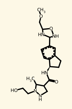 COCC1NC(c2ccc3c(c2)CC[C@H]3NC(=O)C2CNN(CCO)C2C)NO1